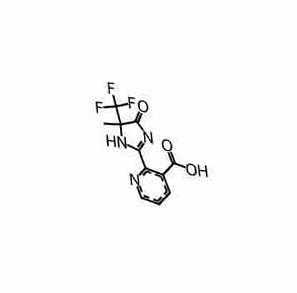 CC1(C(F)(F)F)NC(c2ncccc2C(=O)O)=NC1=O